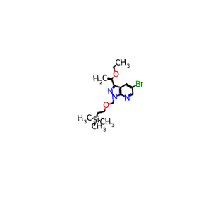 C=C(OCC)c1nn(COCC[Si](C)(C)C)c2ncc(Br)cc12